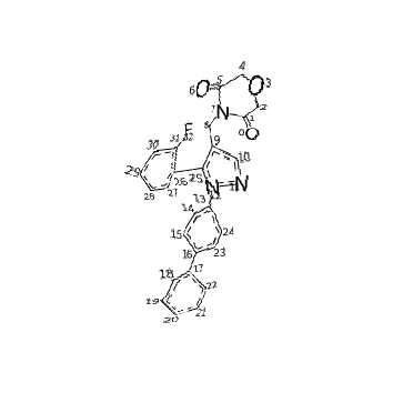 O=C1COCC(=O)N1Cc1cnn(-c2ccc(-c3ccccc3)cc2)c1-c1ccccc1F